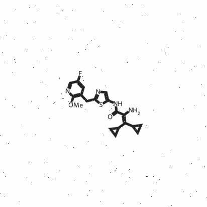 COc1ncc(F)cc1Cc1ncc(NC(=O)C(N)=C(C2CC2)C2CC2)s1